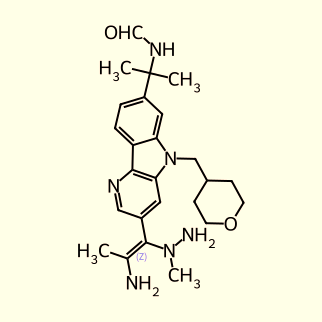 C/C(N)=C(\c1cnc2c3ccc(C(C)(C)NC=O)cc3n(CC3CCOCC3)c2c1)N(C)N